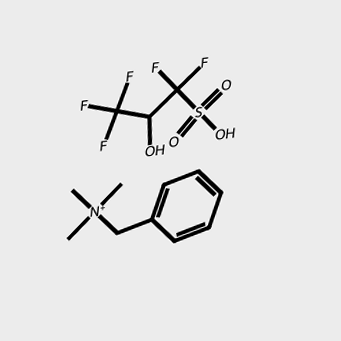 C[N+](C)(C)Cc1ccccc1.O=S(=O)(O)C(F)(F)C(O)C(F)(F)F